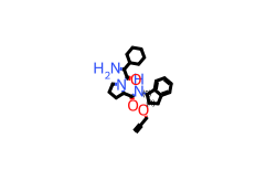 C#CCO[C@@H]1Cc2ccccc2[C@@H]1NC(=O)C1CCCN1C(=O)C(N)C1CCCCC1